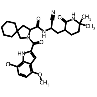 COc1ccc(Cl)c2[nH]c(C(=O)N3CC4(CCCCC4)CC3C(=O)NC(C#N)CC3CCC(C)(C)NC3=O)cc12